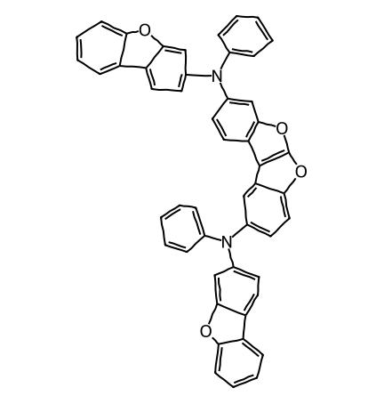 c1ccc(N(c2ccc3c(c2)oc2ccccc23)c2ccc3c(c2)oc2oc4ccc(N(c5ccccc5)c5ccc6c(c5)oc5ccccc56)cc4c23)cc1